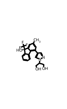 Cc1cc(-c2cnn(C(CO)CO)c2)c2c(c1)[C@@](O)(C(F)(F)F)c1ccccc1-2